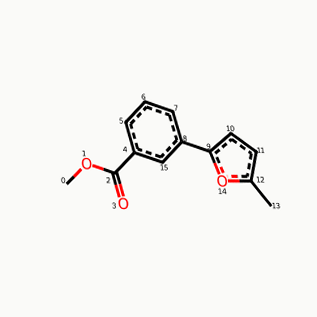 COC(=O)c1cccc(-c2ccc(C)o2)c1